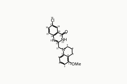 COc1cccc2c1CCCN2Cc1nc2ccc(Cl)cc2c(=O)[nH]1